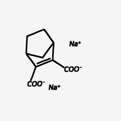 O=C([O-])C1=C(C(=O)[O-])C2CCC1C2.[Na+].[Na+]